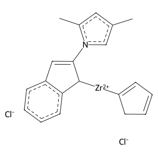 Cc1cc(C)n(C2=Cc3ccccc3[CH]2[Zr+2][C]2=CC=CC2)c1.[Cl-].[Cl-]